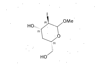 COC1O[C@H](CO)C[C@H](O)[C@H]1I